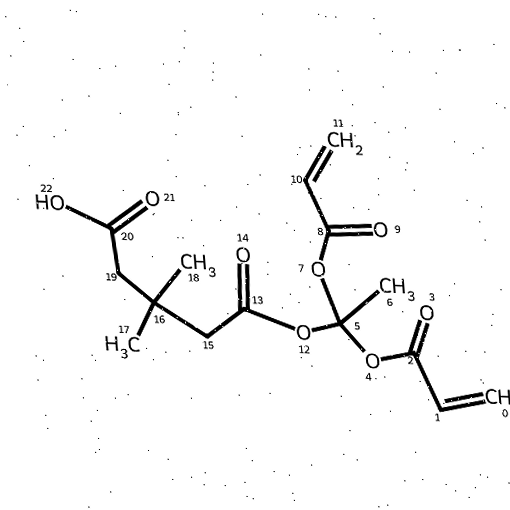 C=CC(=O)OC(C)(OC(=O)C=C)OC(=O)CC(C)(C)CC(=O)O